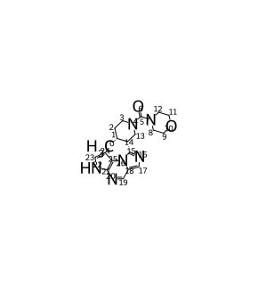 C[C@@H]1CCN(C(=O)N2CCOCC2)C[C@@H]1c1ncc2cnc3[nH]ccc3n12